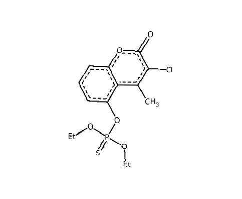 CCOP(=S)(OCC)Oc1cccc2oc(=O)c(Cl)c(C)c12